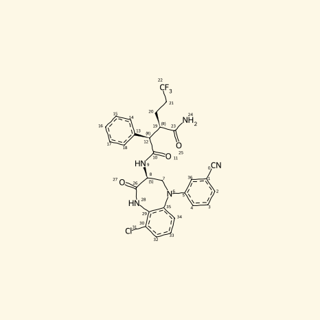 N#Cc1cccc(N2C[C@H](NC(=O)[C@@H](c3ccccc3)[C@@H](CCC(F)(F)F)C(N)=O)C(=O)Nc3c(Cl)cccc32)c1